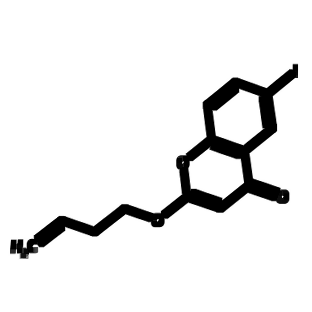 C=CCCOc1cc(=O)c2cc(I)ccc2o1